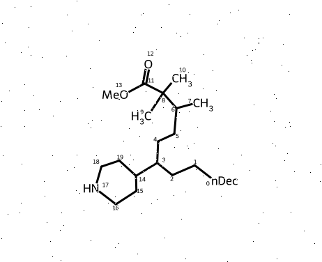 CCCCCCCCCCCCC(CCC(C)C(C)(C)C(=O)OC)C1CCNCC1